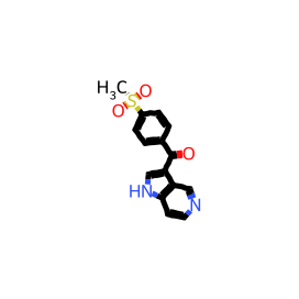 CS(=O)(=O)c1ccc(C(=O)c2c[nH]c3ccncc23)cc1